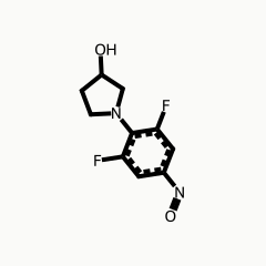 O=Nc1cc(F)c(N2CCC(O)C2)c(F)c1